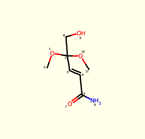 COC(C=CC(N)=O)(CO)OC